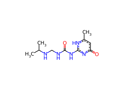 Cc1cc(=O)nc(NC(=O)NCNC(C)C)[nH]1